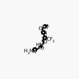 CC1(F)CCN(C(=O)c2ccc(-c3cc(C(F)(F)F)c4oc(CNC(=O)/C=C/c5ccc(N)nc5)cc4c3)nc2)C1